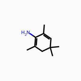 CC1=CC(C)(C)CC(C)=C1N